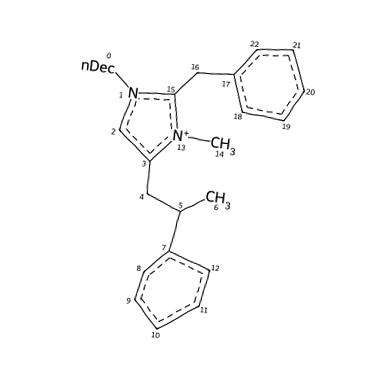 CCCCCCCCCCn1cc(CC(C)c2ccccc2)[n+](C)c1Cc1ccccc1